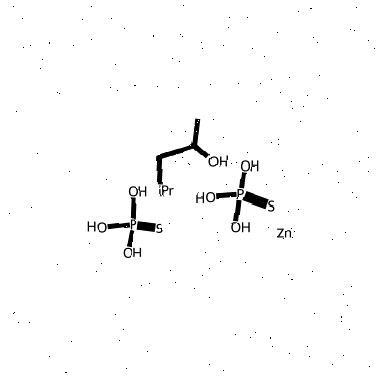 CC(C)CC(C)O.OP(O)(O)=S.OP(O)(O)=S.[Zn]